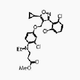 CCN(CCC(=O)OC)c1ccc(OCc2c(-c3c(Cl)cccc3Cl)noc2C2CC2)cc1Cl